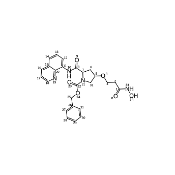 O=C(CCOC1CC(C(=O)Nc2cccc3cccnc23)N(C(=O)OCc2ccccc2)C1)NO